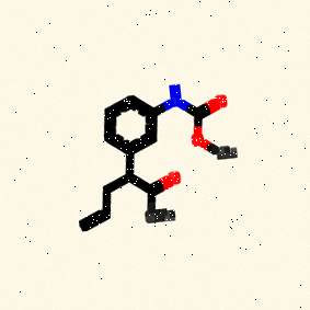 C=CCC(C(=O)OC)c1cccc(NC(=O)OC(C)(C)C)c1